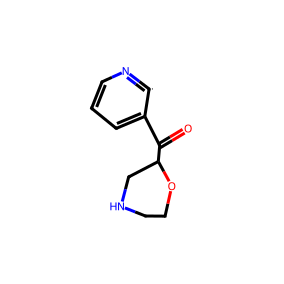 O=C(c1[c]nccc1)C1CNCCO1